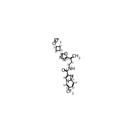 C=C(CCNC(=O)c1cn2cc(C(F)(F)F)ccc2n1)c1nnc([C@H]2C[C@@H](OC(F)(F)F)C2)o1